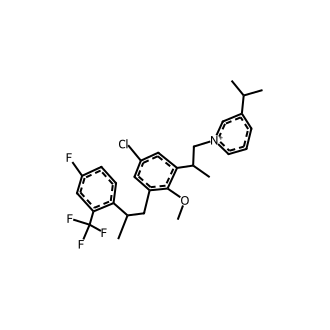 COc1c(CC(C)c2ccc(F)cc2C(F)(F)F)cc(Cl)cc1C(C)C[n+]1cccc(C(C)C)c1